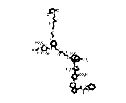 Cc1c(-c2ccc(N3CCc4cccc(C(=O)Nc5nc6ccccc6s5)c4C3)nc2C(=O)O)cnn1CC12CC3(C)CC(C)(C1)CC(OCCNC(=O)OCc1ccc(OCCOCCNC(=O)CCN4C(=O)C=CC4=O)cc1O[C@@H]1O[C@H](C(=O)O)[C@@H](CCO)[C@H](O)[C@H]1O)(C3)C2